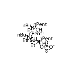 CCCCC[N+](C)(CC)CCCC.CCCCC[N+](C)(CC)CCCC.CCCCC[N+](C)(CC)CCCC.O=P([O-])([O-])[O-]